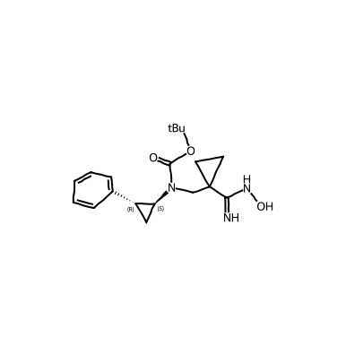 CC(C)(C)OC(=O)N(CC1(C(=N)NO)CC1)[C@H]1C[C@@H]1c1ccccc1